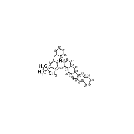 CC(C)(C)c1ccc(N(c2ccccc2)c2ccc3cc4c(cc3c2)sc2cc3ccccc3cc24)cc1